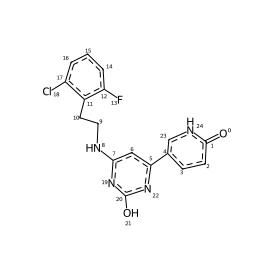 O=c1ccc(-c2cc(NCCc3c(F)cccc3Cl)nc(O)n2)c[nH]1